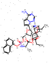 CCC(=O)O[C@H]1[C@@H](OC(=O)CC)[C@](C#N)(c2ccc3c(N)ncnn23)O[C@@H]1COP(=O)(N[C@@H](C)C(=O)OC1CC2(CCC2)C1)Oc1cccc2ccccc12